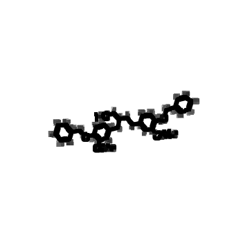 COc1cc(CCC(CO)Cc2ccc(OCc3ccccc3)c(OC)c2)ccc1OCc1ccccc1